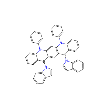 c1ccc(N2c3ccccc3B(n3ccc4ccccc43)c3cc4c(cc32)N(c2ccccc2)c2ccccc2B4n2ccc3ccccc32)cc1